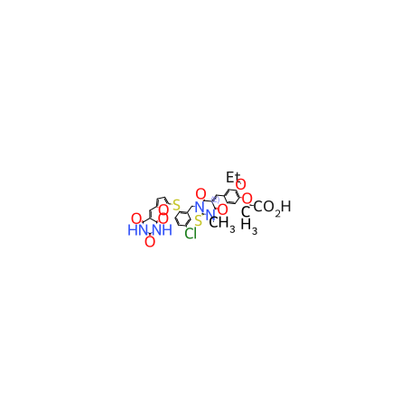 CCOc1cc(/C=C2\C(=O)N(C)C(=S)N(Cc3cc(Cl)ccc3Sc3ccc(C=C4C(=O)NC(=O)NC4=O)o3)C2=O)ccc1OC(C)C(=O)O